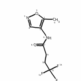 Cc1oncc1NC(=O)CCC(F)(F)F